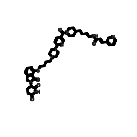 O=C(/C=C/c1cccnc1)NCCCCC1CCN(C(=O)c2ccc(N3CCN(CCCCSc4cccc5c4C(=O)N(C4CCC(=O)NC4=O)C5)CC3)nc2)CC1